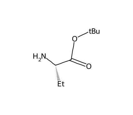 CC[C@H](N)C(=O)OC(C)(C)C